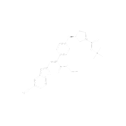 CCOC(=O)C(=Cc1cc2cc(C#N)ccc2s1)c1ccc(O[C@H]2CCN(C(=O)OC(C)(C)C)C2)cc1